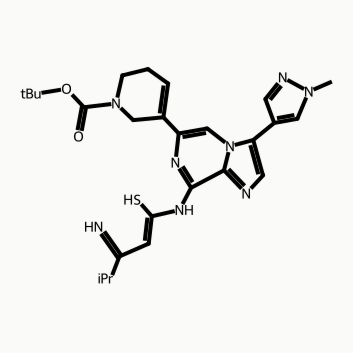 CC(C)C(=N)/C=C(\S)Nc1nc(C2=CCCN(C(=O)OC(C)(C)C)C2)cn2c(-c3cnn(C)c3)cnc12